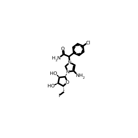 NC(=O)C(c1ccc(Cl)cc1)N1C=C(N)N([C@@H]2O[C@H](CI)[C@@H](O)[C@H]2O)C1